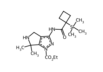 CCOC(=O)n1nc(NC(=O)C2([Si](C)(C)C)CCC2)c2c1C(C)(C)NC2